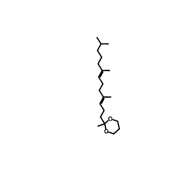 C/C(=C\CCC1(C)OCCCO1)CC/C=C(\C)CCCC(C)C